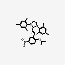 Cc1cc(C)c(N2CCN(c3c(C)cc(C)cc3C)C2/C=C/c2cc([N+](=O)[O-])ccc2OC(C)C)c(C)c1